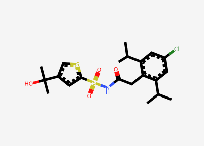 CC(C)c1cc(Cl)cc(C(C)C)c1CC(=O)NS(=O)(=O)c1cc(C(C)(C)O)cs1